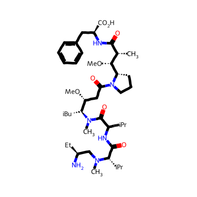 CC[C@H](N)CN(C)[C@H](C(=O)NC(C(=O)N(C)[C@@H]([C@@H](C)CC)[C@@H](CC(=O)N1CCC[C@H]1[C@H](OC)[C@@H](C)C(=O)N[C@@H](Cc1ccccc1)C(=O)O)OC)C(C)C)C(C)C